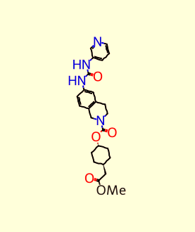 COC(=O)C[C@H]1CC[C@H](OC(=O)N2CCc3cc(NC(=O)Nc4cccnc4)ccc3C2)CC1